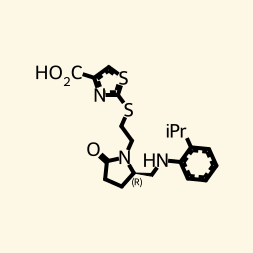 CC(C)c1ccccc1NC[C@H]1CCC(=O)N1CCSc1nc(C(=O)O)cs1